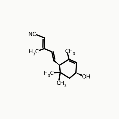 CC1=C[C@@H](O)CC(C)(C)[C@H]1/C=C/C(C)=C/C#N